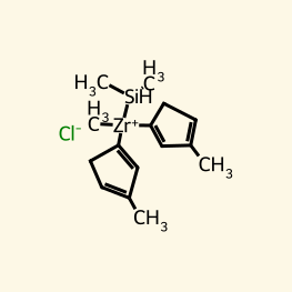 CC1=CC[C]([Zr+]([CH3])([C]2=CC(C)=CC2)[SiH](C)C)=C1.[Cl-]